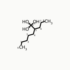 CCCCCC(CCC)C(O)(O)O